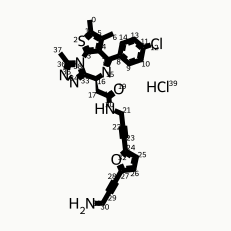 Cc1sc2c(c1C)C(c1ccc(Cl)cc1)=N[C@@H](CC(=O)NCC#Cc1ccc(C#CCN)o1)c1nnc(C)n1-2.Cl